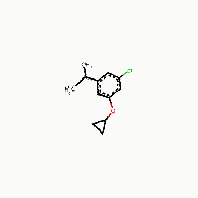 CC(C)c1cc(Cl)cc(OC2CC2)c1